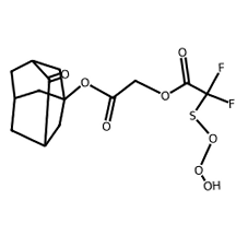 O=C(COC(=O)C(F)(F)SOOO)OC12CC3CC(C1)C(=O)C(C3)C2